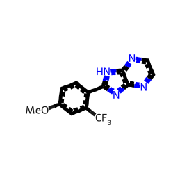 COc1ccc(-c2nc3nccnc3[nH]2)c(C(F)(F)F)c1